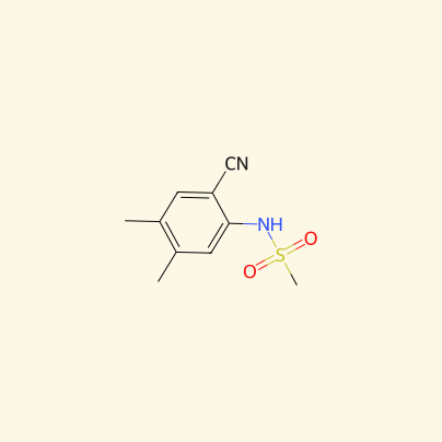 Cc1cc(C#N)c(NS(C)(=O)=O)cc1C